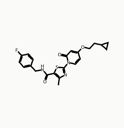 Cc1nc(-n2ccc(OCCC3CC3)cc2=O)sc1C(=O)NCc1ccc(F)cc1